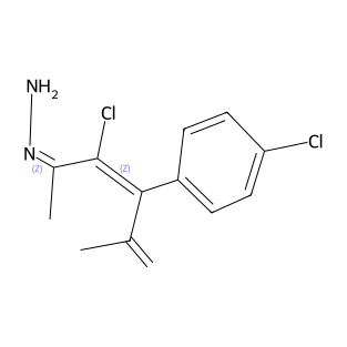 C=C(C)/C(=C(Cl)\C(C)=N/N)c1ccc(Cl)cc1